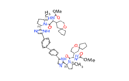 COC(=O)NC(C(=O)N1[C@@H](C)CC[C@H]1c1ncc(-c2ccc(-c3ccc(-c4cnc([C@@H]5CC[C@H](C)N5C(=O)C(NC(=O)OC)C5CCOC6(CCCC6)C5)[nH]4)cc3)cc2)[nH]1)C1CCOC2(CCCC2)C1